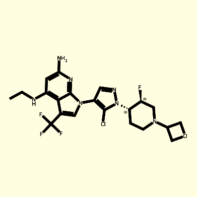 CCNc1cc(N)nc2c1c(C(F)(F)F)cn2-c1cnn([C@H]2CCN(C3COC3)C[C@@H]2F)c1Cl